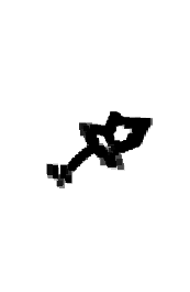 Nc1nc2cccn2[nH]1